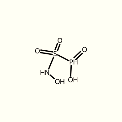 O=[PH](O)S(=O)(=O)NO